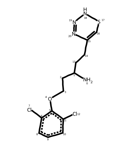 NC(CCOc1c(Cl)cccc1Cl)CCC1=CSNN=N1